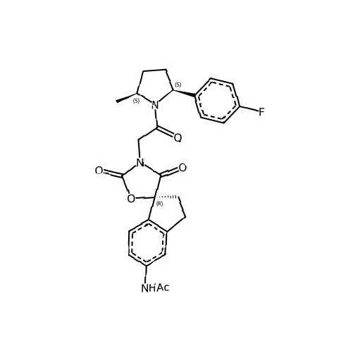 CC(=O)Nc1ccc2c(c1)CC[C@@]21OC(=O)N(CC(=O)N2[C@@H](C)CC[C@H]2c2ccc(F)cc2)C1=O